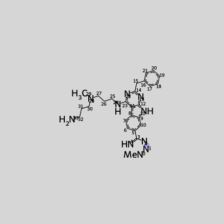 CN/N=N\C(=N)c1ccc2c(c1)[nH]c1nc(Cc3ccccc3)nc(NCCCN(C)CCCN)c12